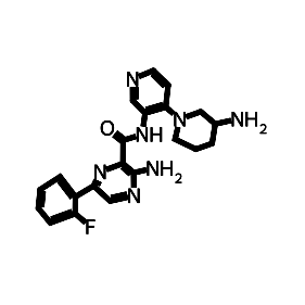 Nc1ncc(-c2ccccc2F)nc1C(=O)Nc1cnccc1N1CCCC(N)C1